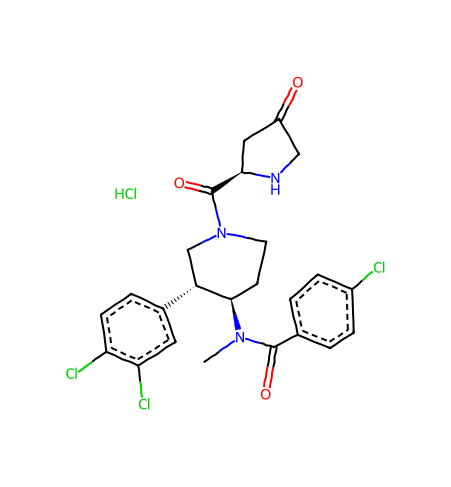 CN(C(=O)c1ccc(Cl)cc1)[C@@H]1CCN(C(=O)[C@H]2CC(=O)CN2)C[C@H]1c1ccc(Cl)c(Cl)c1.Cl